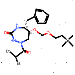 CCC(CC)C(=O)N1C[C@@H](OCOCC[Si](C)(C)C)[C@@H](Cc2ccccc2)NC(=O)N1